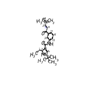 CCc1nn(C(C)(C)C)cc1C(=O)Nc1cccc(C(=O)/C=C/N(C)C)c1